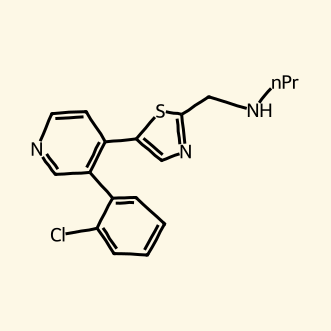 CCCNCc1ncc(-c2ccncc2-c2ccccc2Cl)s1